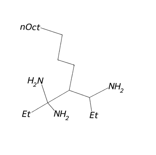 CCCCCCCCCCCC(C(N)CC)C(N)(N)CC